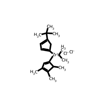 CC1=C(C)C(C)[C]([Zr+2]([C]2=CC=C(C(C)(C)C)C2)=[C](C)C)=C1.[Cl-].[Cl-]